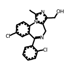 Cc1nc(CO)c2n1-c1ccc(Cl)cc1C(c1ccccc1Cl)=NC2